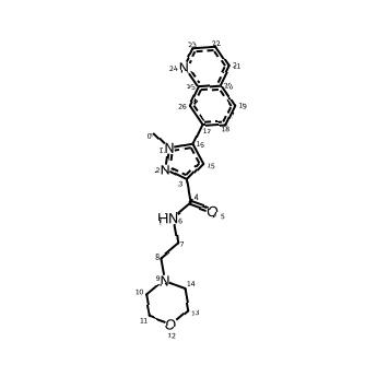 Cn1nc(C(=O)NCCN2CCOCC2)cc1-c1ccc2cccnc2c1